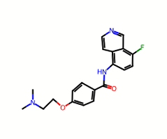 CN(C)CCOc1ccc(C(=O)Nc2ccc(F)c3cnccc23)cc1